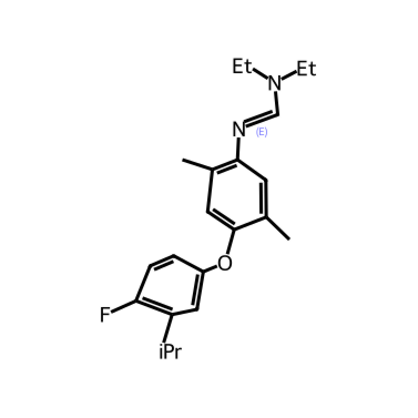 CCN(/C=N/c1cc(C)c(Oc2ccc(F)c(C(C)C)c2)cc1C)CC